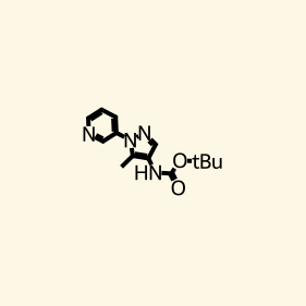 Cc1c(NC(=O)OC(C)(C)C)cnn1-c1cccnc1